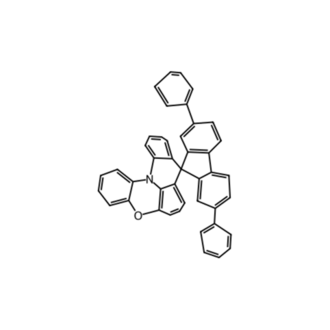 c1ccc(-c2ccc3c(c2)C2(c4cc(-c5ccccc5)ccc4-3)c3ccccc3N3c4ccccc4Oc4cccc2c43)cc1